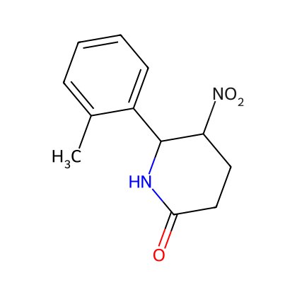 Cc1ccccc1C1NC(=O)CCC1[N+](=O)[O-]